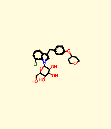 OC[C@H]1O[C@@H](n2cc(Cc3ccc(OC4CCOCC4)cc3)c3cccc(Cl)c32)[C@H](O)[C@@H](O)[C@@H]1O